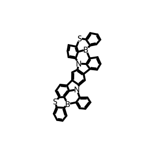 c1ccc2c(c1)Sc1cccc3c1B2c1cccc2c4cc5c(cc4n-3c12)c1ccc2c3c1n5-c1ccccc1B3c1ccccc1S2